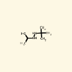 CC(O)NNC(C)(C)C